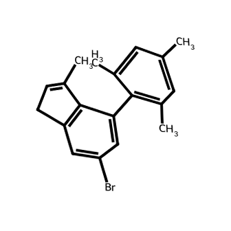 CC1=CCc2cc(Br)cc(-c3c(C)cc(C)cc3C)c21